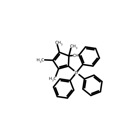 CC1=C(C)C(C)(C)[C]([Zr]([c]2ccccc2)([c]2ccccc2)[c]2ccccc2)=C1C